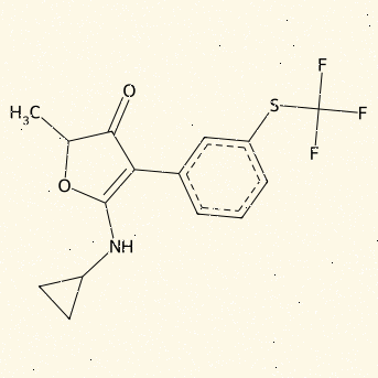 CC1OC(NC2CC2)=C(c2cccc(SC(F)(F)F)c2)C1=O